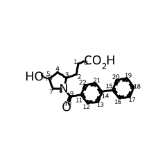 O=C(O)CCC1C[C@H](O)CN1C(=O)c1ccc(-c2ccccc2)cc1